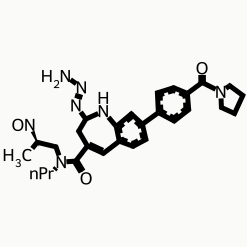 CCCN(C[C@@H](C)N=O)C(=O)C1=Cc2ccc(-c3ccc(C(=O)N4CCCC4)cc3)cc2NC(N=NN)C1